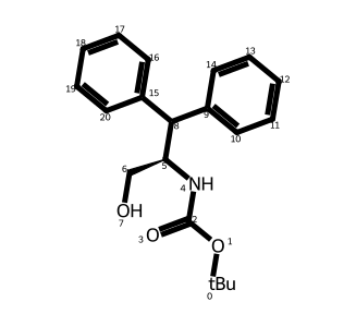 CC(C)(C)OC(=O)N[C@@H](CO)C(c1ccccc1)c1ccccc1